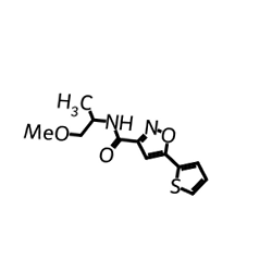 COCC(C)NC(=O)c1cc(-c2cccs2)on1